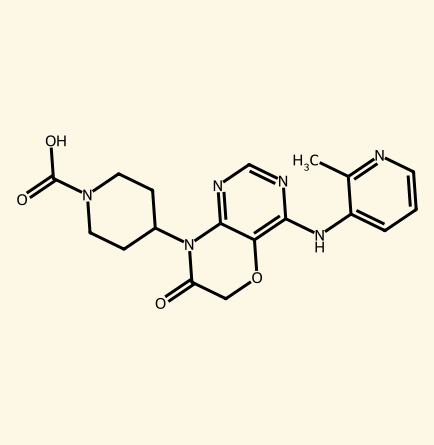 Cc1ncccc1Nc1ncnc2c1OCC(=O)N2C1CCN(C(=O)O)CC1